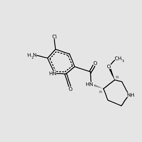 CO[C@H]1CNCC[C@@H]1NC(=O)c1cc(Cl)c(N)[nH]c1=O